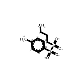 CCCCS(=O)(=O)S(=O)(=O)c1ccc(C)cc1